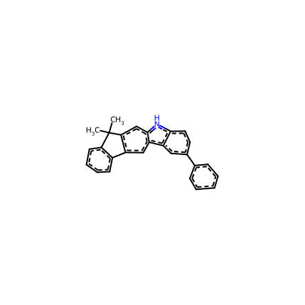 CC1(C)c2ccccc2-c2cc3c(cc21)[nH]c1ccc(-c2ccccc2)cc13